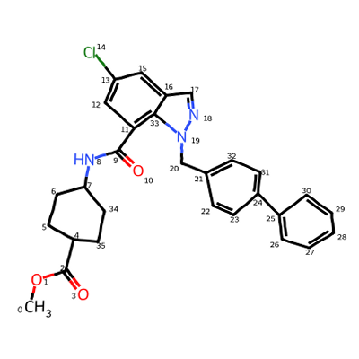 COC(=O)C1CCC(NC(=O)c2cc(Cl)cc3cnn(Cc4ccc(-c5ccccc5)cc4)c23)CC1